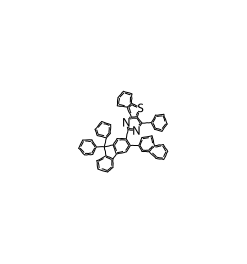 c1ccc(-c2nc(-c3cc4c(cc3-c3ccc5ccccc5c3)-c3ccccc3C4(c3ccccc3)c3ccccc3)nc3c2sc2ccccc23)cc1